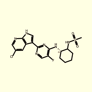 CS(=O)(=O)NC1CCCC[C@@H]1Nc1nc(-c2c[nH]c3ncc(Cl)cc23)ncc1F